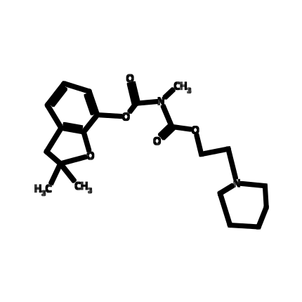 CN(C(=O)OCCN1CCCCC1)C(=O)Oc1cccc2c1OC(C)(C)C2